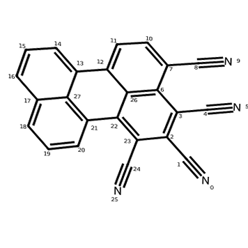 N#Cc1c(C#N)c2c(C#N)ccc3c4cccc5cccc(c(c1C#N)c23)c54